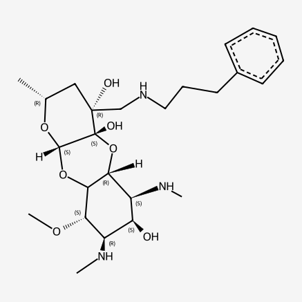 CN[C@@H]1[C@H](O)[C@H](NC)[C@H]2O[C@]3(O)[C@H](OC2[C@H]1OC)O[C@H](C)C[C@@]3(O)CNCCCc1ccccc1